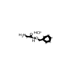 Cl.NCC(=O)NOCc1ccccc1